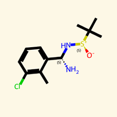 Cc1c(Cl)cccc1[C@@H](N)N[S@+]([O-])C(C)(C)C